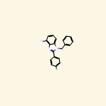 O=CNc1cccc2c1nc(-c1ccc(Cl)cc1)n2Cc1ccccc1